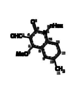 CCCCCCn1c(=O)c(C=O)c(OC)c2cc(C)ccc21